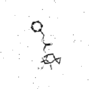 B[C@@H]1O[C@@]2(CC(=O)OCc3ccccc3)CC3(CC3)[C@H]1C2C